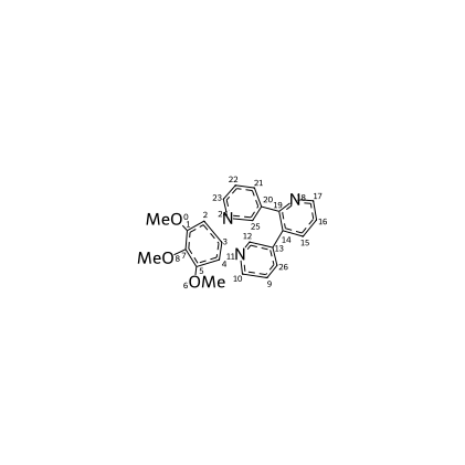 COc1cccc(OC)c1OC.c1cncc(-c2cccnc2-c2cccnc2)c1